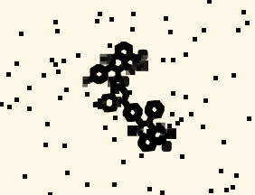 CN1CCN(C(Cc2nnc(C3c4n[nH]c(=O)c5cccc(c45)NC3c3ccc(F)cc3)o2)c2ccc(C3Nc4cccc5c(=O)[nH]nc(c45)C3c3ccccc3)cc2)CC1